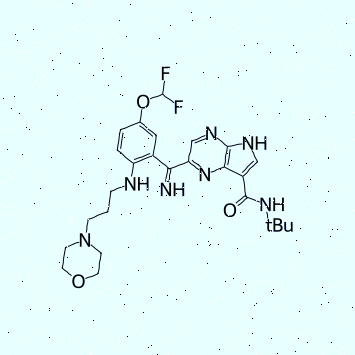 CC(C)(C)NC(=O)c1c[nH]c2ncc(C(=N)c3cc(OC(F)F)ccc3NCCCN3CCOCC3)nc12